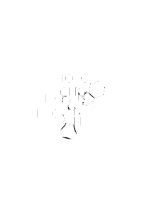 CC(C(=O)Nc1nc2c(s1)CCCC2C(=O)O)c1ccccc1.O=CO